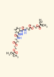 C=C(C)C(=O)OCCOC(=O)CCNC(=O)NC1CC=CCC1NC(=O)NCCC(=O)OCCOC(=O)C(=C)C